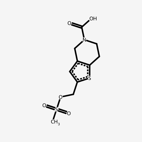 CS(=O)(=O)OCc1cc2c(s1)CCN(C(=O)O)C2